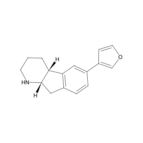 c1cc(-c2ccc3c(c2)[C@H]2CCCN[C@H]2C3)co1